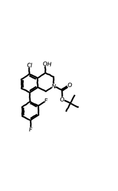 CC(C)(C)OC(=O)N1Cc2c(-c3ccc(F)cc3F)ccc(Cl)c2C(O)C1